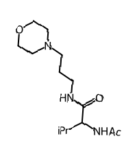 CC(=O)NC(C(=O)NCCCN1CCOCC1)C(C)C